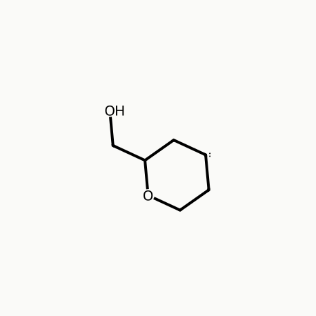 OCC1C[C]CCO1